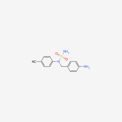 N#Cc1ccc(N(Cc2ccc(N)cc2)S(N)(=O)=O)cc1